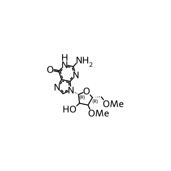 COC[C@H]1O[C@@H](n2cnc3c(=O)[nH]c(N)nc32)C(O)C1OC